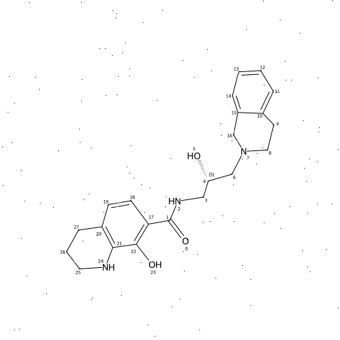 O=C(NC[C@H](O)CN1CCc2ccccc2C1)c1ccc2c(c1O)NCCC2